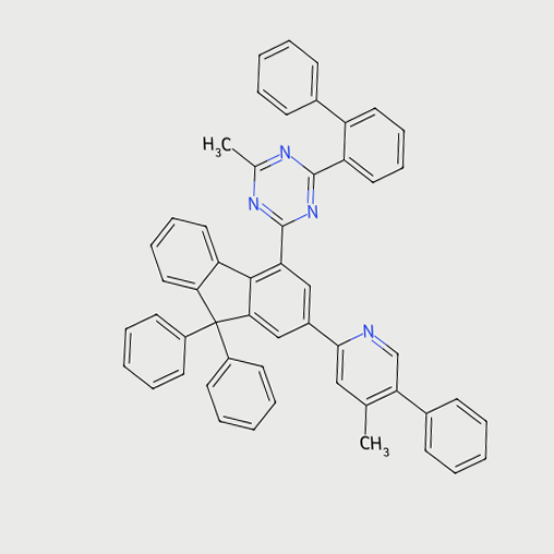 Cc1nc(-c2ccccc2-c2ccccc2)nc(-c2cc(-c3cc(C)c(-c4ccccc4)cn3)cc3c2-c2ccccc2C3(c2ccccc2)c2ccccc2)n1